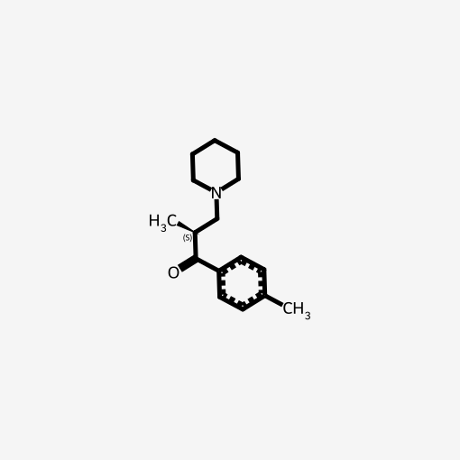 Cc1ccc(C(=O)[C@@H](C)CN2CCCCC2)cc1